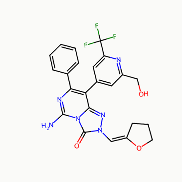 Nc1nc(-c2ccccc2)c(-c2cc(CO)nc(C(F)(F)F)c2)c2nn(C=C3CCCO3)c(=O)n12